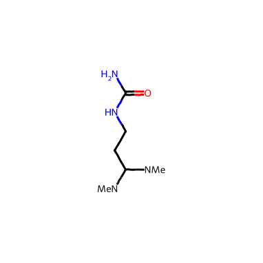 CNC(CCNC(N)=O)NC